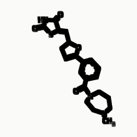 CN1CCCN(C(=O)c2cccc(C3=CCC(/C=C4\SC(=O)NC4=O)O3)c2)CC1